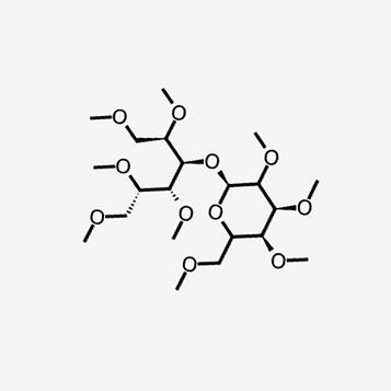 COCC1O[C@@H](O[C@@H]([C@H](OC)[C@H](COC)OC)[C@@H](COC)OC)C(OC)[C@@H](OC)[C@H]1OC